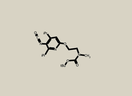 CC(C)c1cc(OCCN(C)C(=O)OC(C)(C)C)nc(C(C)C)c1N=C=O